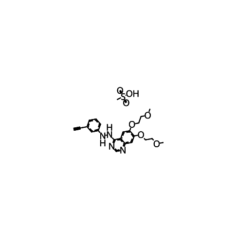 C#Cc1cccc(NNc2ncnc3cc(OCCOC)c(OCCOC)cc23)c1.CS(=O)(=O)O